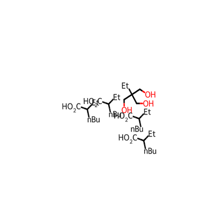 CCC(CO)(CO)CO.CCCCC(CC)C(=O)O.CCCCC(CC)C(=O)O.CCCCC(CC)C(=O)O.CCCCC(CC)C(=O)O